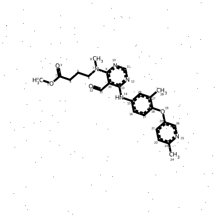 COC(=O)CCCN(C)c1ncnc(Nc2ccc(Oc3ccc(C)nc3)c(C)c2)c1C=O